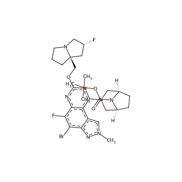 Cn1cc2c(n1)c(Br)c(F)c1nc(OC[C@@]34CCCN3C[C@H](F)C4)nc(N3C[C@H]4CC[C@@H](C3)N4C(=O)OC(C)(C)C)c12